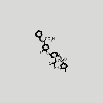 Cc1ccc(S(=O)(=O)N=c2ccc(Oc3ccc(N(Cc4ccccc4)C(=O)O)cc3F)cn2CC(N)=O)cc1